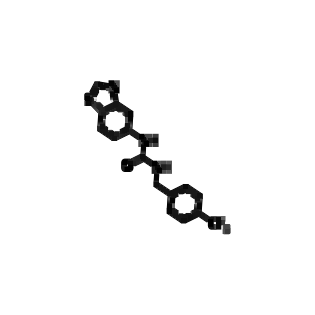 O=C(NCc1ccc(C(F)(F)F)cc1)Nc1ccc2scnc2c1